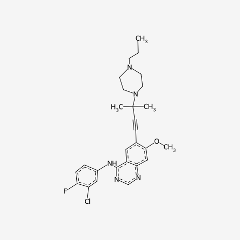 CCCN1CCN(C(C)(C)C#Cc2cc3c(Nc4ccc(F)c(Cl)c4)ncnc3cc2OC)CC1